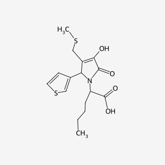 CCCCC(C(=O)O)N1C(=O)C(O)=C(CSC)C1c1ccsc1